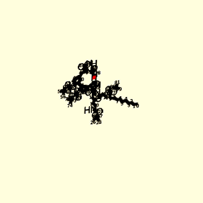 CCCCCCCCCCN(CCC(=O)N[C@@H](CCCCNC(=O)OC(C)(C)C)C(=O)N(C)[C@@H]1C(=O)N[C@@H](C)C(=O)N[C@H](C(=O)O)Cc2ccc(OC(=O)OC(C)(C)C)c(c2)-c2cc1ccc2OC(=O)OC(C)(C)C)C(=O)OC(C)(C)C